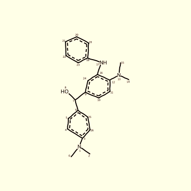 CN(C)c1ccc(C(O)c2ccc(N(C)C)c(Nc3ccccc3)c2)cc1